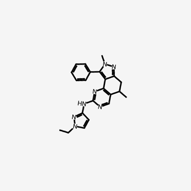 CCn1ccc(Nc2ncc3c(n2)-c2c(nn(C)c2-c2ccccc2)CC3C)n1